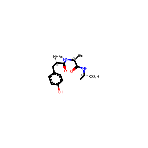 CCC(C)[C@H](NC(=O)[C@H](Cc1ccc(O)cc1)NC(C)=O)C(=O)N[C@@H](C)C(=O)O